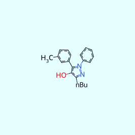 CCCCc1nn(-c2ccccc2)c(-c2cccc(C)c2)c1O